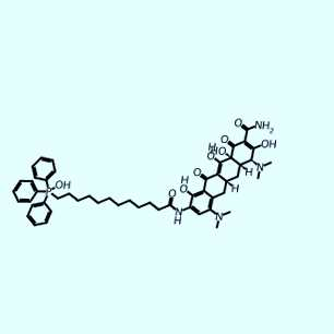 CN(C)c1cc(NC(=O)CCCCCCCCCCCP(O)(c2ccccc2)(c2ccccc2)c2ccccc2)c(O)c2c1C[C@H]1C[C@H]3[C@H](N(C)C)C(O)=C(C(N)=O)C(=O)[C@@]3(O)C(O)=C1C2=O